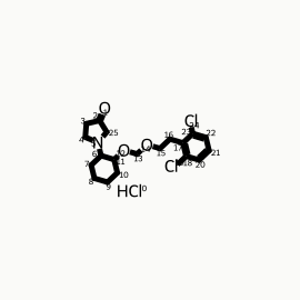 Cl.O=C1CCN(C2CCCCC2OCOCCc2c(Cl)cccc2Cl)C1